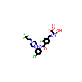 O=C(Nc1ccc(Cl)cc1N1CCN(CCC(F)(F)F)CC1)c1ccc(CN[C@H](CO)C(=O)O)c(F)c1F